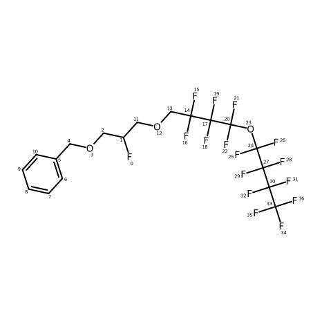 FC(COCc1ccccc1)COCC(F)(F)C(F)(F)C(F)(F)OC(F)(F)C(F)(F)C(F)(F)C(F)(F)F